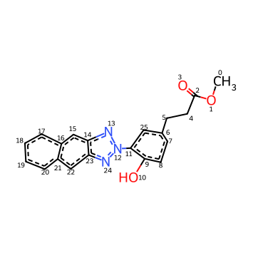 COC(=O)CCc1ccc(O)c(-n2nc3cc4ccccc4cc3n2)c1